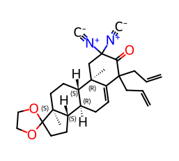 [C-]#[N+]C1([N+]#[C-])C[C@@]2(C)C(=CC[C@@H]3[C@@H]2CC[C@@]2(C)[C@H]3CCC23OCCO3)C(CC=C)(CC=C)C1=O